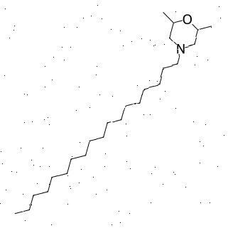 CCCCCCCCCCCCCCCCCCN1CC(C)OC(C)C1